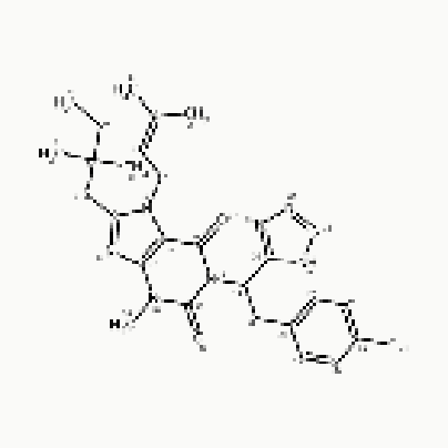 CC(C)=CCn1c(SC(C)(C)CN)nc2c1c(=O)n(C(Cc1ccc(F)cc1)c1nnn[nH]1)c(=O)n2C